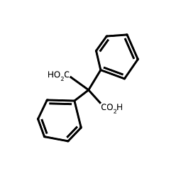 O=C(O)C(C(=O)O)(c1ccccc1)c1ccccc1